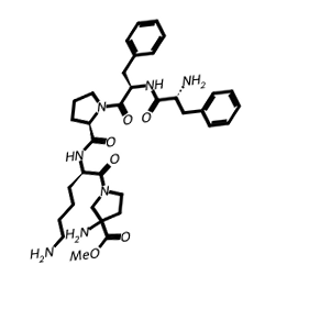 COC(=O)C1(N)CCN(C(=O)[C@@H](CCCCN)NC(=O)[C@H]2CCCN2C(=O)[C@@H](Cc2ccccc2)NC(=O)[C@H](N)Cc2ccccc2)C1